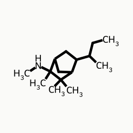 CCC(C)C1CC2CC1C(C)(C)C2(C)NC